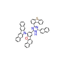 c1ccc2cc(C3N=C(c4cccc5sc6ccccc6c45)N=C(c4cc(-n5c6cc7ccccc7cc6c6cc7ccccc7cc65)c5oc6c7ccccc7ccc6c5c4)N3)ccc2c1